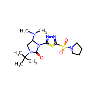 CN(C)C1CN(C(C)(C)C)C(=O)N1c1nnc(S(=O)(=O)N2CCCC2)s1